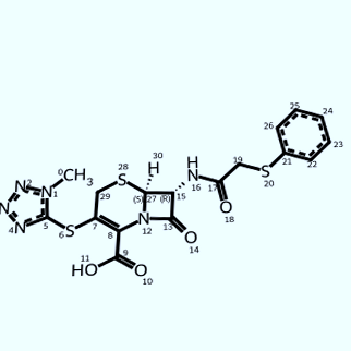 Cn1nnnc1SC1=C(C(=O)O)N2C(=O)[C@@H](NC(=O)CSc3ccccc3)[C@@H]2SC1